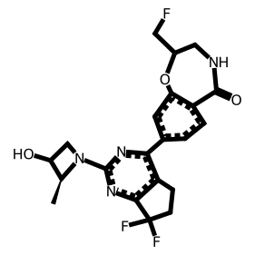 C[C@H]1C(O)CN1c1nc(-c2ccc3c(c2)OC(CF)CNC3=O)c2c(n1)C(F)(F)CC2